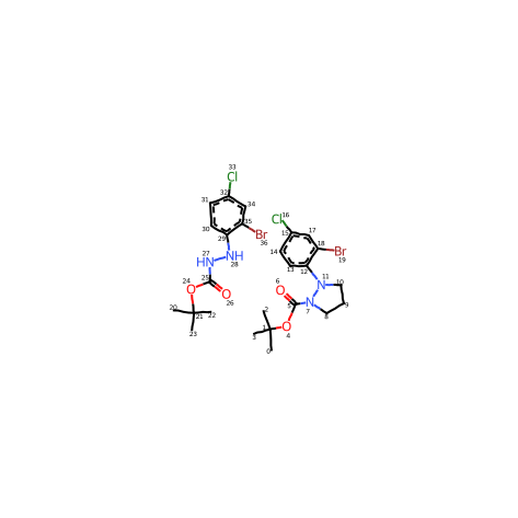 CC(C)(C)OC(=O)N1CCCN1c1ccc(Cl)cc1Br.CC(C)(C)OC(=O)NNc1ccc(Cl)cc1Br